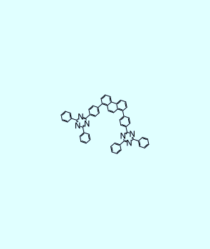 c1ccc(-c2nc(-c3ccccc3)nc(-c3ccc(-c4cccc5c4ccc4c(-c6ccc(-c7nc(-c8ccccc8)nc(-c8ccccc8)n7)cc6)cccc45)cc3)n2)cc1